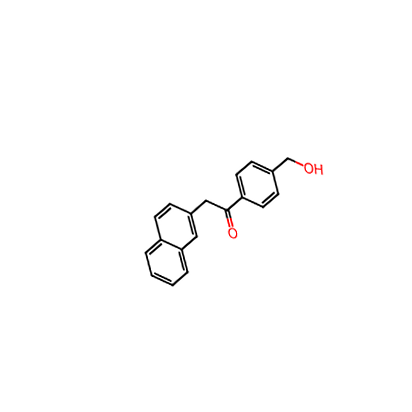 O=C(Cc1ccc2ccccc2c1)c1ccc(CO)cc1